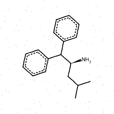 CC(C)C[C@H](N)C(c1ccccc1)c1ccccc1